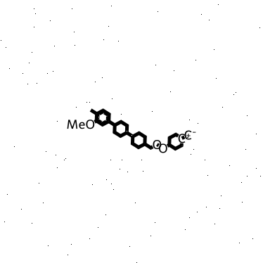 [CH2-][C+]1CCC(OOCC2CCC(C3CCC(c4ccc(C)c(OC)c4)CC3)CC2)CC1